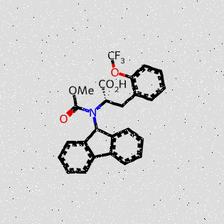 COC(=O)N(C1c2ccccc2-c2ccccc21)[C@@H](Cc1ccccc1OC(F)(F)F)C(=O)O